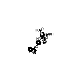 Cc1cc(COc2ccc(NC(=O)C3(Cc4nccs4)CCN(C(=O)O)C[C@@H]3C(=O)NO)cc2)c2ccccc2n1